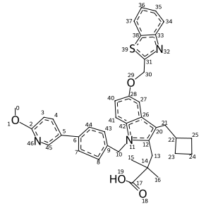 COc1ccc(-c2ccc(Cn3c(CC(C)(C)C(=O)O)c(CC4CCC4)c4cc(OCc5nc6ccccc6s5)ccc43)cc2)cn1